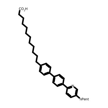 CCCCCc1ccc(-c2ccc(-c3ccc(CCCCCCCCCCCC(=O)O)cc3)cc2)nc1